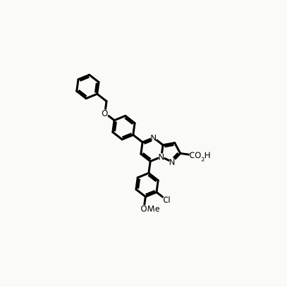 COc1ccc(-c2cc(-c3ccc(OCc4ccccc4)cc3)nc3cc(C(=O)O)nn23)cc1Cl